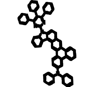 c1ccc(-c2nc(-n3c4ccccc4c4c5cc6c7ccc(N(c8ccccc8)c8ccccc8)cc7c7ccccc7c6cc5ccc43)nc(-c3ccccc3)c2-c2ccccc2)cc1